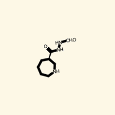 O=CNNC(=O)[C@@H]1CCCCNC1